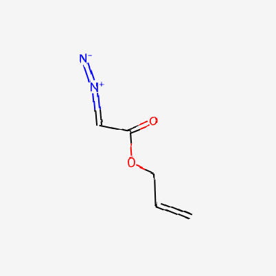 C=CCOC(=O)C=[N+]=[N-]